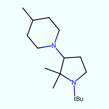 CC1CCN(C2CCN(C(C)(C)C)C2(C)C)CC1